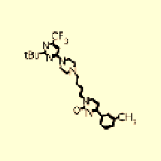 Cc1cccc(-c2ccn(CCCCN3CCN(c4cc(C(F)(F)F)nc(C(C)(C)C)n4)CC3)c(=O)n2)c1